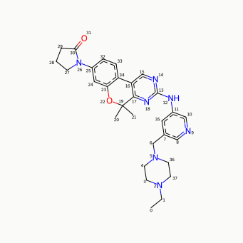 CCN1CCN(Cc2cncc(Nc3ncc4c(n3)C(C)(C)Oc3cc(N5CCCC5=O)ccc3-4)c2)CC1